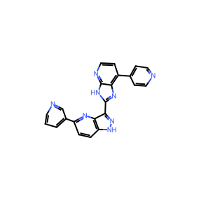 c1cncc(-c2ccc3[nH]nc(-c4nc5c(-c6ccncc6)ccnc5[nH]4)c3n2)c1